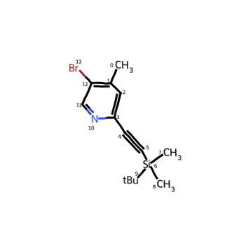 Cc1cc(C#C[Si](C)(C)C(C)(C)C)ncc1Br